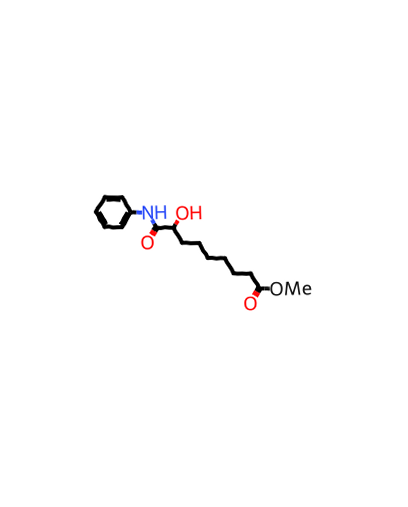 COC(=O)CCCCCCC(O)C(=O)Nc1ccccc1